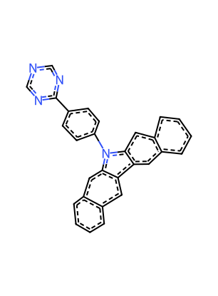 c1ccc2cc3c(cc2c1)c1cc2ccccc2cc1n3-c1ccc(-c2ncncn2)cc1